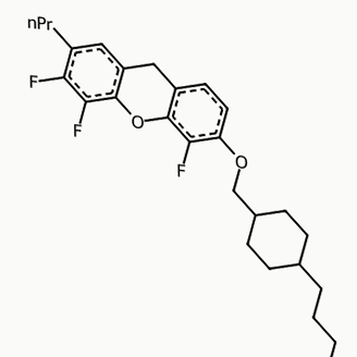 CCCc1cc2c(c(F)c1F)Oc1c(ccc(OCC3CCC(CCCF)CC3)c1F)C2